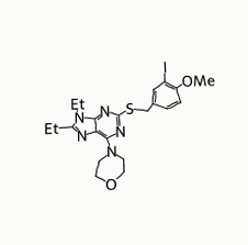 CCc1nc2c(N3CCOCC3)nc(SCc3ccc(OC)c(I)c3)nc2n1CC